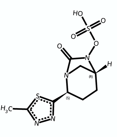 Cc1nnc([C@@H]2CC[C@@H]3CN2C(=O)N3OS(=O)(=O)O)s1